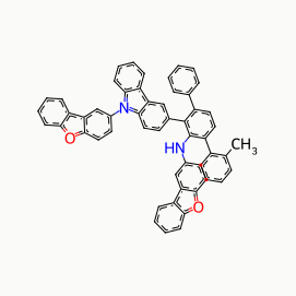 Cc1ccccc1-c1ccc(-c2ccccc2)c(-c2ccc3c(c2)c2ccccc2n3-c2ccc3oc4ccccc4c3c2)c1Nc1ccc2oc3ccccc3c2c1